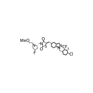 COCCN1C[C@H](F)C[C@H]1CN1C(=O)S/C(=C\c2ccc3c(cnn3Cc3ccc(Cl)cc3C(F)(F)F)c2)C1=O